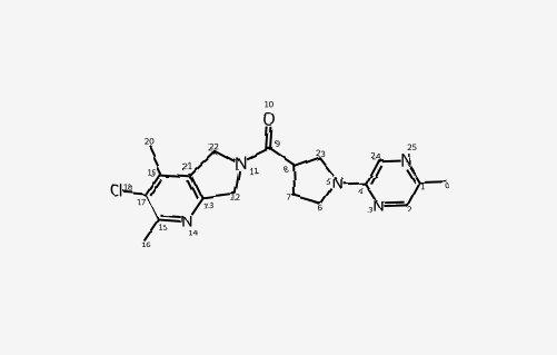 Cc1cnc(N2CCC(C(=O)N3Cc4nc(C)c(Cl)c(C)c4C3)C2)cn1